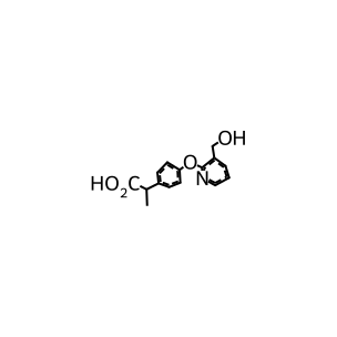 CC(C(=O)O)c1ccc(Oc2ncccc2CO)cc1